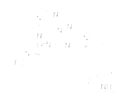 CN1CCN(c2nsnc2-n2nc(Nc3ccc(S(N)(=O)=O)cc3)nc2N)CC1